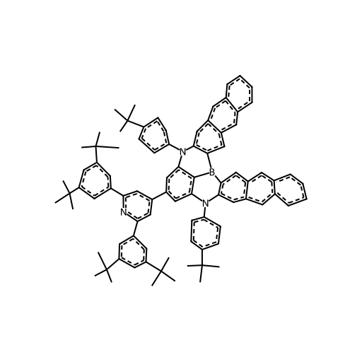 CC(C)(C)c1ccc(N2c3cc4cc5ccccc5cc4cc3B3c4cc5cc6ccccc6cc5cc4N(c4ccc(C(C)(C)C)cc4)c4cc(-c5cc(-c6cc(C(C)(C)C)cc(C(C)(C)C)c6)nc(-c6cc(C(C)(C)C)cc(C(C)(C)C)c6)c5)cc2c43)cc1